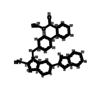 CCCc1nc2ccc(-c3cn4ccccc4n3)cc2n1Cc1ccc(-c2ccccc2C(=O)OC(C)(C)C)cc1